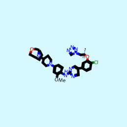 COc1cc(N2CCC(N3C4CCC3COC4)CC2)ccc1Nc1ncc(-c2ccc(Cl)c(O[C@@H](C)Cn3cnnn3)c2)cn1